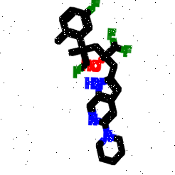 Cc1ccc(F)cc1C(C)(CF)CC(O)(Cc1cc2cc(N3CCCCC3)ncc2[nH]1)C(F)F